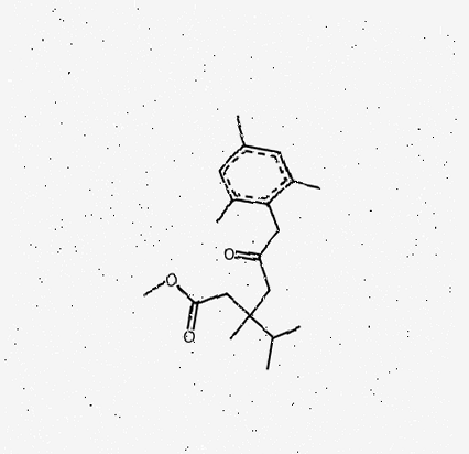 COC(=O)CC(C)(CC(=O)Cc1c(C)cc(C)cc1C)C(C)C